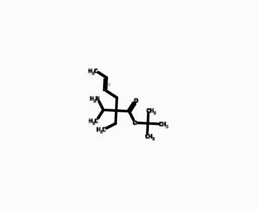 C/C=C/CC(CC)(C(=O)OC(C)(C)C)C(C)N